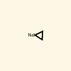 C1CC1.[NaH]